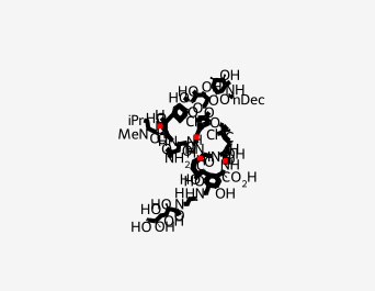 CCCCCCCCCCC(=O)NC1(C)C[C@H](O[C@@H]2C(O)C(O)[C@@H](CO)O[C@H]2Oc2c3cc4cc2Oc2ccc(cc2Cl)[C@@H](O)[C@@H](NC(=O)[C@@H](CC(C)C)NC)C(=O)NC(CC(N)=O)C(=O)N[C@H]4C(=O)N[C@H]2C(=O)N[C@H](C(=O)N[C@H](C(=O)O)c4cc(O)c(CNCCCNC(=O)[C@H](O)[C@@H](O)[C@H](O)[C@H](O)CO)c(O)c4-c4cc2ccc4O)[C@H](O)c2ccc(c(Cl)c2)O3)C[C@@H](C)[C@H]1O